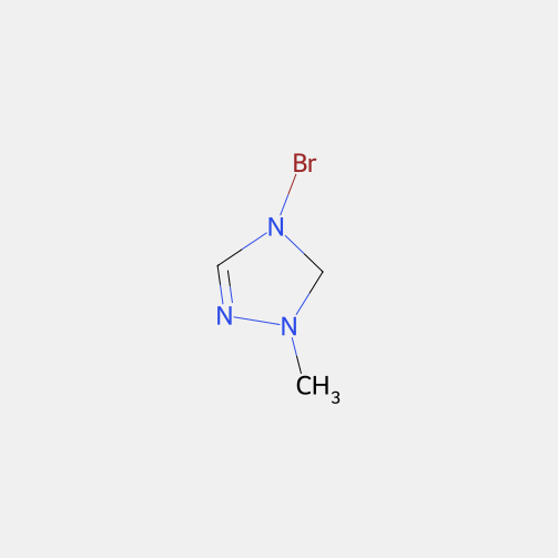 CN1CN(Br)C=N1